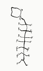 CC(F)C(F)(F)C(F)(F)C(F)(F)C(F)(F)C(F)(F)C(F)(F)C[SiH]1CCCCO1